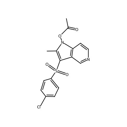 CC(=O)On1c(C)c(S(=O)(=O)c2ccc(Cl)cc2)c2cnccc21